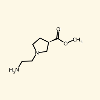 COC(=O)[C@@H]1CCN(CCN)C1